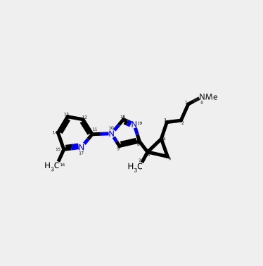 CNCCCC1CC1(C)c1cn(-c2cccc(C)n2)cn1